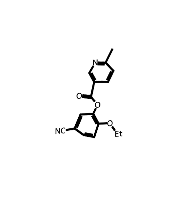 CCOc1ccc(C#N)cc1OC(=O)c1ccc(C)nc1